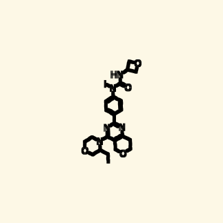 CCC1COCCN1c1nc(-c2ccc(N(I)C(=O)NC3COC3)cc2)nc2c1COCC2